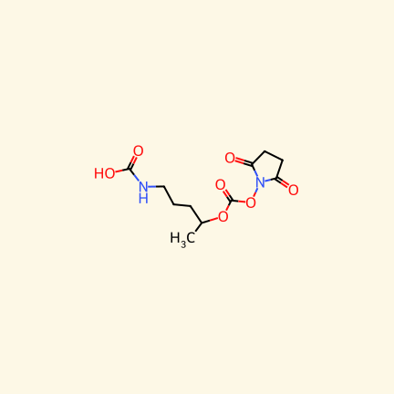 CC(CCCNC(=O)O)OC(=O)ON1C(=O)CCC1=O